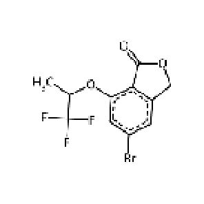 CC(Oc1cc(Br)cc2c1C(=O)OC2)C(F)(F)F